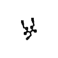 C#CCC(C(=O)OCC#N)C(=O)OCC#N